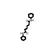 O=C(C=CC=CC(=O)Nc1ccccc1)Nc1ccccc1